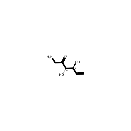 C=C[C@H](O)[C@H](O)C(=O)CN